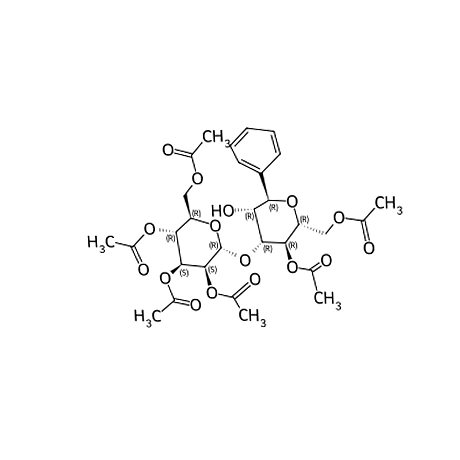 CC(=O)OC[C@H]1O[C@H](O[C@@H]2[C@H](O)[C@@H](c3ccccc3)O[C@H](COC(C)=O)[C@H]2OC(C)=O)[C@@H](OC(C)=O)[C@@H](OC(C)=O)[C@@H]1OC(C)=O